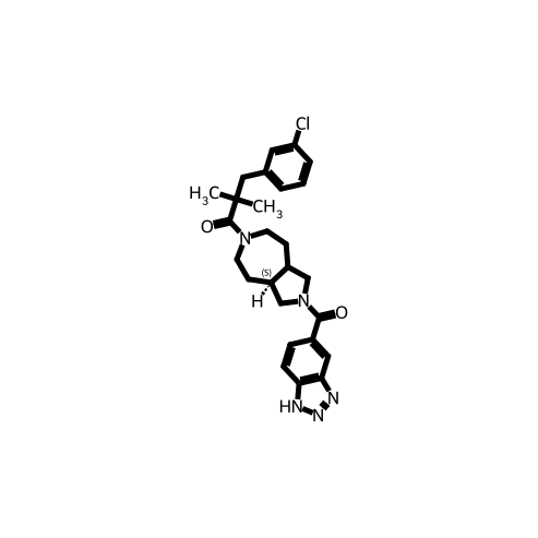 CC(C)(Cc1cccc(Cl)c1)C(=O)N1CCC2CN(C(=O)c3ccc4[nH]nnc4c3)C[C@H]2CC1